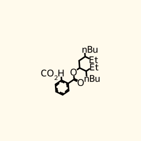 CCCCC(CC)CC(OC(=O)c1ccccc1C(=O)O)C(CC)CCCC